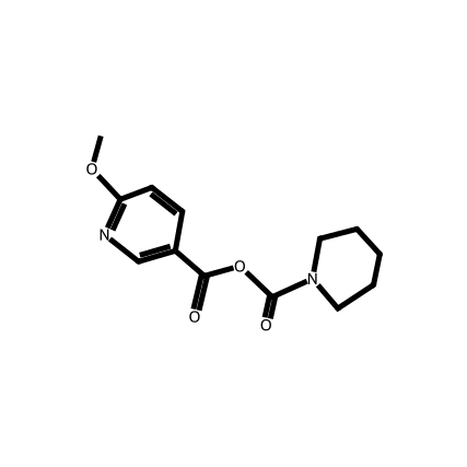 COc1ccc(C(=O)OC(=O)N2CCCCC2)cn1